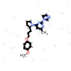 COc1ccc(OCCCC2CCCN2c2cc(C)nc(-n3ccnc3)n2)cc1